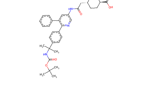 CC(C)(C)OC(=O)NC(C)(C)c1ccc(-c2ncc(NC(=O)C[C@H]3CC[C@H](C(=O)O)CC3)cc2-c2ccccc2)cc1